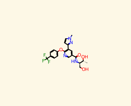 C[C@@H](O)[C@@H](CO)NC(=O)c1cnc(Oc2ccc(C(F)(F)F)cc2)c(-c2ccn(C)n2)c1